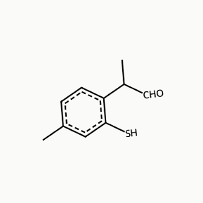 Cc1ccc(C(C)C=O)c(S)c1